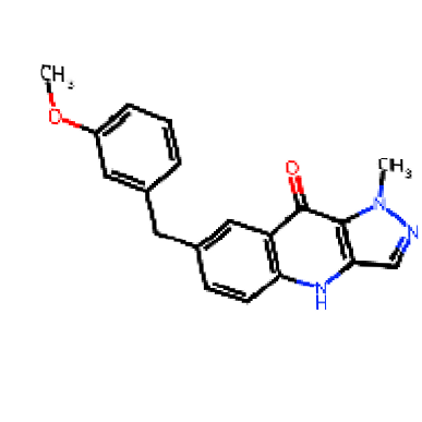 COc1cccc(Cc2ccc3[nH]c4cnn(C)c4c(=O)c3c2)c1